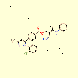 C/C(Nc1ccccc1)=C(/C=N)COC(=O)c1ccc(/C(=C/C(=N)C(F)(F)F)Nc2ccccc2Cl)cc1